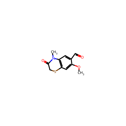 COc1cc2c(cc1C=O)N(C)C(=O)CS2